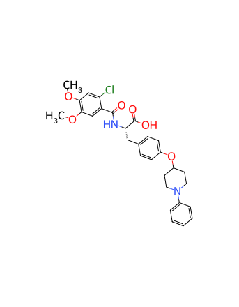 COc1cc(Cl)c(C(=O)N[C@@H](Cc2ccc(OC3CCN(c4ccccc4)CC3)cc2)C(=O)O)cc1OC